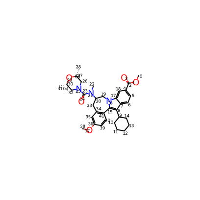 COC(=O)c1ccc2c(C3CCCCC3)c3n(c2c1)CC(N(C)C(=O)N1C[C@@H](C)O[C@@H](C)C1)Cc1cc(OC)ccc1-3